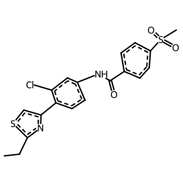 CCc1nc(-c2ccc(NC(=O)c3ccc(S(C)(=O)=O)cc3)cc2Cl)cs1